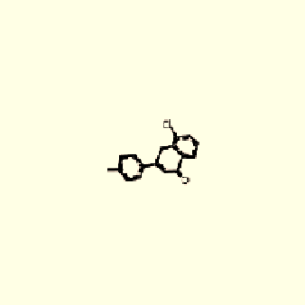 Cc1ccc(C2=CC(=O)c3cccc(Cl)c3C2)cc1